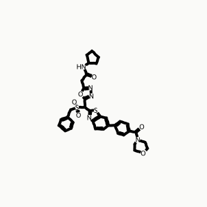 O=C(Cc1nnc(C(c2nc3ccc(-c4ccc(C(=O)N5CCOCC5)cc4)cc3s2)S(=O)(=O)Cc2ccccc2)o1)NC1CCCC1